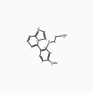 COc1ccc(-c2cccc3nccn23)c(OCCO)c1